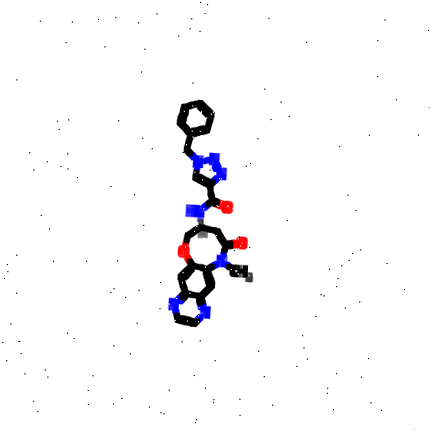 CN1C(=O)C[C@@H](NC(=O)c2cn(Cc3ccccc3)nn2)COc2cc3nccnc3cc21